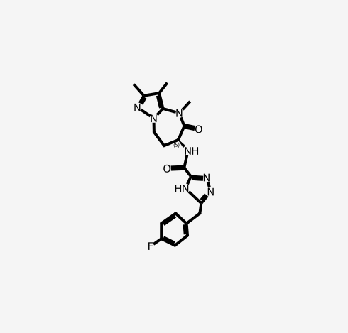 Cc1nn2c(c1C)N(C)C(=O)[C@@H](NC(=O)c1nnc(Cc3ccc(F)cc3)[nH]1)CC2